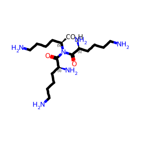 NCCCC[C@H](N)C(=O)N(C(=O)[C@@H](N)CCCCN)[C@@H](CCCCN)C(=O)O